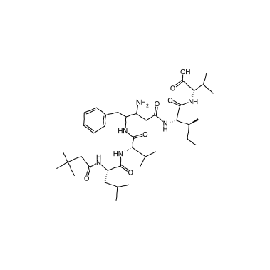 CC[C@H](C)[C@H](NC(=O)CC(N)C(Cc1ccccc1)NC(=O)[C@@H](NC(=O)[C@H](CC(C)C)NC(=O)CC(C)(C)C)C(C)C)C(=O)N[C@H](C(=O)O)C(C)C